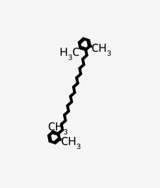 Cc1cccc(C)c1CCCCCCCCCCCCCCCCCc1c(C)cccc1C